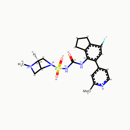 COc1cc(-c2cc(F)c3c(c2NC(=O)NS(=O)(=O)N2C[C@H]4C2CN4C)CCC3)ccn1